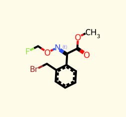 COC(=O)/C(=N/OCF)c1ccccc1CBr